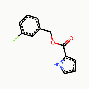 O=C(OCc1cccc(F)c1)c1ccc[nH]1